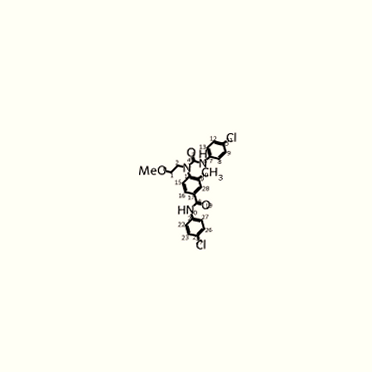 COCCN(C(=O)Nc1ccc(Cl)cc1)c1ccc(C(=O)Nc2ccc(Cl)cc2)cc1C